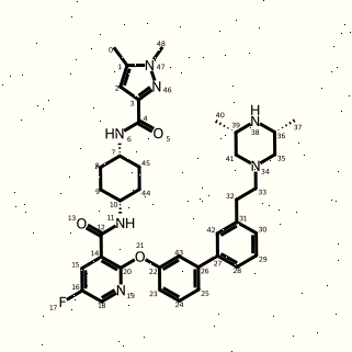 Cc1cc(C(=O)N[C@H]2CC[C@@H](NC(=O)c3cc(F)cnc3Oc3cccc(-c4cccc(CCN5C[C@@H](C)N[C@@H](C)C5)c4)c3)CC2)nn1C